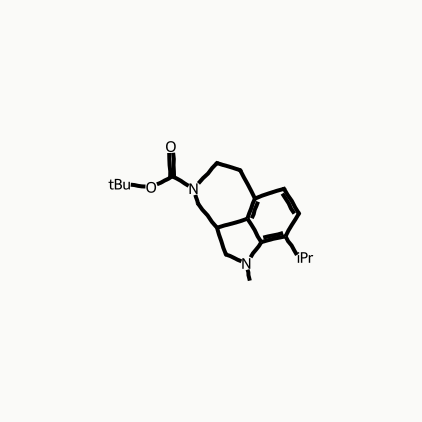 CC(C)c1ccc2c3c1N(C)CC3CN(C(=O)OC(C)(C)C)CC2